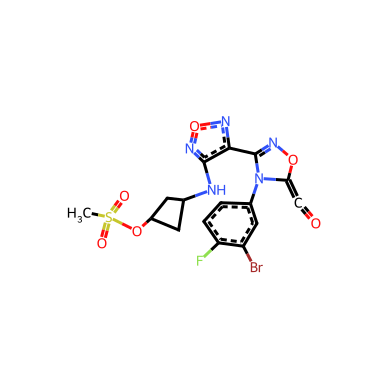 CS(=O)(=O)OC1CC(Nc2nonc2C2=NOC(=C=O)N2c2ccc(F)c(Br)c2)C1